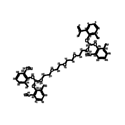 C=C(C)c1cccc(C)c1OP(OCCOCCOCCOCCOP(Oc1c(C)cccc1C(C)(C)C)Oc1c(C)cccc1C(C)(C)C)Oc1c(C)cccc1C(C)(C)C